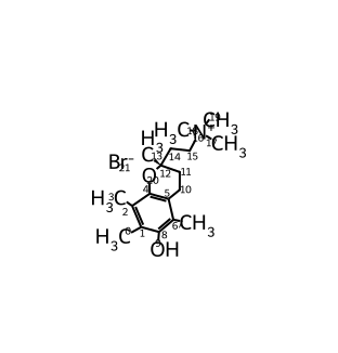 Cc1c(C)c2c(c(C)c1O)CC[C@@](C)(CC[N+](C)(C)C)O2.[Br-]